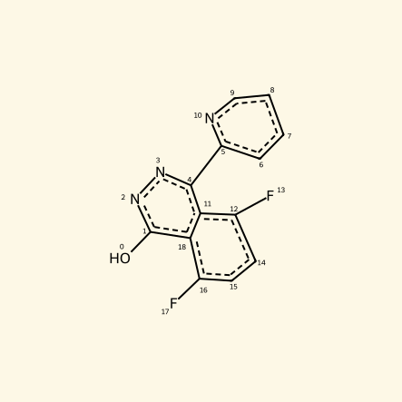 Oc1nnc(-c2ccccn2)c2c(F)ccc(F)c12